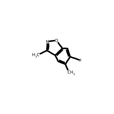 Cc1cc2c(C)noc2cc1F